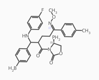 Bc1ccc(C(Nc2ccc(F)cc2)C(CC/C(=N/OC)c2ccc(C)cc2)C(=O)N2C(=O)OC[C@@H]2P)cc1